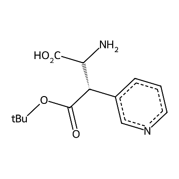 CC(C)(C)OC(=O)[C@@H](c1cccnc1)C(N)C(=O)O